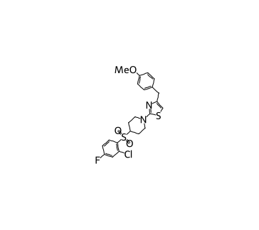 COc1ccc(Cc2csc(N3CCC(S(=O)(=O)c4ccc(F)cc4Cl)CC3)n2)cc1